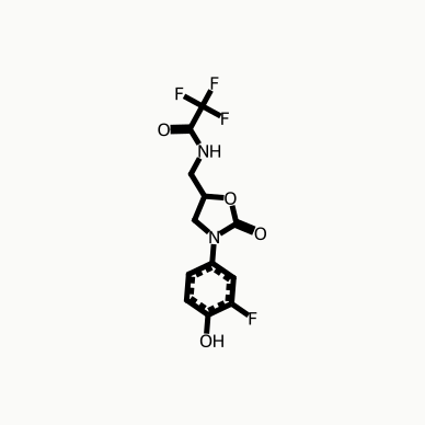 O=C1OC(CNC(=O)C(F)(F)F)CN1c1ccc(O)c(F)c1